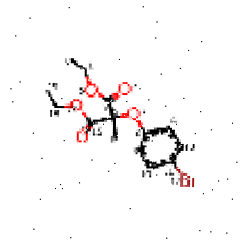 CCOC(=O)C(C)(Oc1ccc(Br)cc1)C(=O)OCC